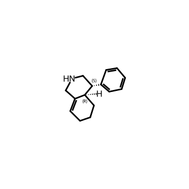 C1=C2CNC[C@H](c3ccccc3)[C@H]2CCC1